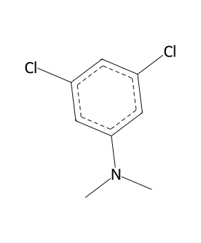 CN(C)c1cc(Cl)cc(Cl)c1